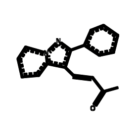 CC(=O)C=Cc1c(-c2ccccc2)nn2ccccc12